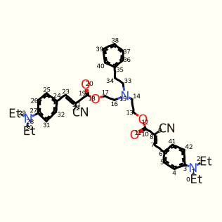 CCN(CC)c1ccc(/C=C(\C#N)C(=O)OCCN(CCOC(=O)/C(C#N)=C/c2ccc(N(CC)CC)cc2)CCc2ccccc2)cc1